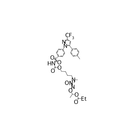 CCC(=O)OC(C)ON=[N+]([O-])N(C)CCCCOC(=O)NS(=O)(=O)c1ccc(-n2nc(C(F)(F)F)cc2-c2ccc(C)cc2)cc1